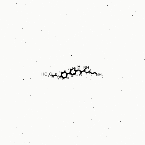 NCCCC[C@H](N)C(=O)Nc1ccc(-c2ccc(OCCC(=O)O)cc2)cn1